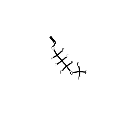 C=COC(F)(F)C(F)(F)C(F)(F)OC(F)(F)F